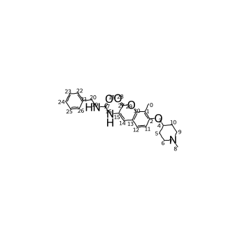 Cc1c(OC2CCN(C)CC2)ccc2cc(NC(=O)NCc3ccccc3)c(=O)oc12